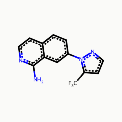 Nc1nccc2ccc(-n3nccc3C(F)(F)F)cc12